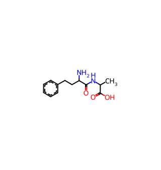 CC(NC(=O)C(N)CCc1ccccc1)C(=O)O